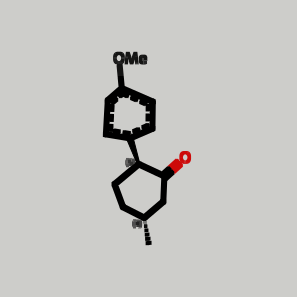 COc1ccc([C@@H]2CC[C@@H](C)CC2=O)cc1